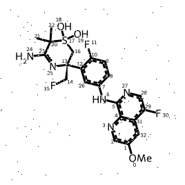 COc1cnc2c(Nc3ccc(F)c([C@@]4(CF)CS(O)(O)C(C)(C)C(N)=N4)c3)ncc(F)c2c1